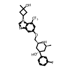 C[C@H]1C[C@@](O)(c2cccc(F)c2)C[C@@H](COc2cc(C(F)(F)F)c3c(c2)ncn3C2CC(C)(O)C2)N1